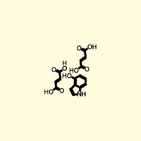 O=C(O)/C=C/C(=O)O.O=C(O)/C=C/C(=O)O.Oc1cccc2[nH]ccc12